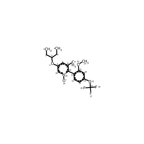 CCC(CC)Oc1cc(C)c(-c2ccc(OC(F)(F)F)cc2OC)[n+]([O-])c1